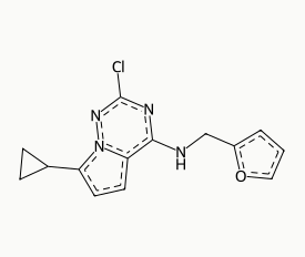 Clc1nc(NCc2ccco2)c2ccc(C3CC3)n2n1